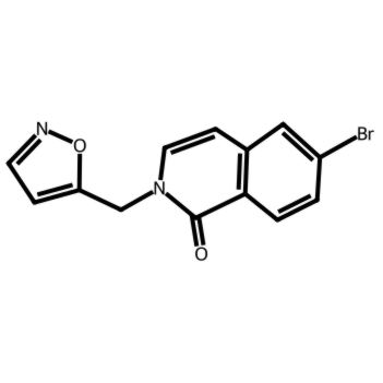 O=c1c2ccc(Br)cc2ccn1Cc1ccno1